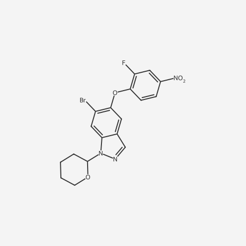 O=[N+]([O-])c1ccc(Oc2cc3cnn(C4CCCCO4)c3cc2Br)c(F)c1